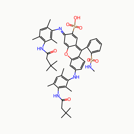 CNS(=O)(=O)c1ccccc1-c1c2cc(S(=O)(=O)O)/c(=N/c3c(C)cc(C)c(NC(=O)CC(C)(C)C)c3C)cc-2oc2cc(Nc3c(C)cc(C)c(NC(=O)CC(C)(C)C)c3C)ccc12